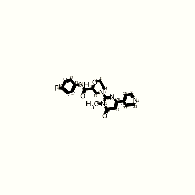 Cn1c(N2CCOC(C(=O)Nc3ccc(F)cc3)C2)nc(-c2ccncc2)cc1=O